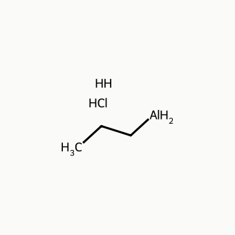 CC[CH2][AlH2].Cl.[HH]